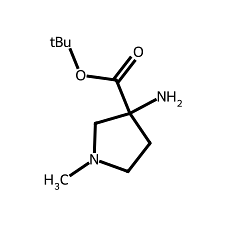 CN1CCC(N)(C(=O)OC(C)(C)C)C1